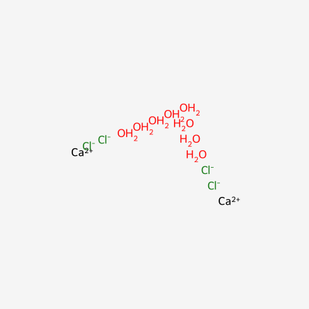 O.O.O.O.O.O.O.O.[Ca+2].[Ca+2].[Cl-].[Cl-].[Cl-].[Cl-]